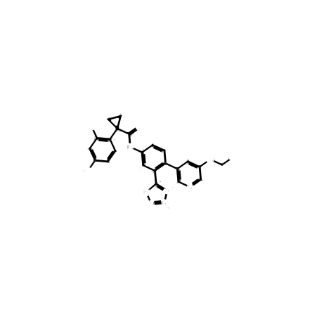 CCOc1cncc(-c2ccc(NC(=O)C3(c4ccc(F)cc4F)CC3)cc2-c2nnn[nH]2)c1